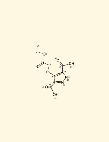 CCOC(=O)CCc1c(C(=O)O)n[nH]c1C(=O)O